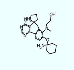 CN(CCO)c1c(OC2(N)CCCCC2)ccc2c1CC1(CCCC1)c1c(N)ncnc1-2